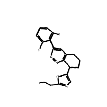 CCCc1ncc(C2CCCc3cc(-c4c(F)cccc4F)nnc32)o1